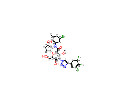 CO[C@@H]1[C@@H](n2cc(-c3cc(F)c(F)c(F)c3)nn2)[C@@H](O)[C@@H](CO)O[C@H]1C(=O)N(c1cc(C)cc(Br)c1)[C@H]1CCC[C@@H]1O